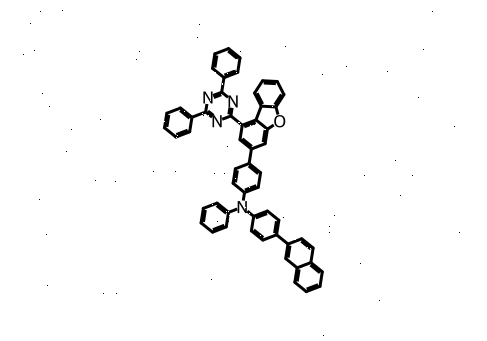 c1ccc(-c2nc(-c3ccccc3)nc(-c3cc(-c4ccc(N(c5ccccc5)c5ccc(-c6ccc7ccccc7c6)cc5)cc4)cc4oc5ccccc5c34)n2)cc1